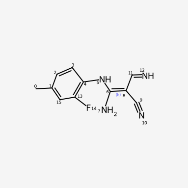 Cc1ccc(N/C(N)=C(/C#N)C=N)c(F)c1